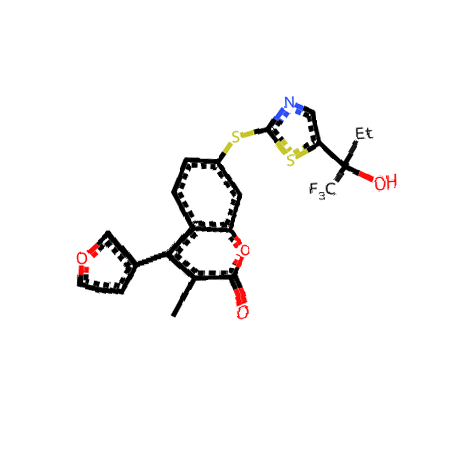 CCC(O)(c1cnc(Sc2ccc3c(-c4ccoc4)c(C)c(=O)oc3c2)s1)C(F)(F)F